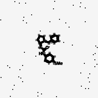 CSc1ccc(NC(=O)N=C2CCCN2Cc2ccccc2)cc1